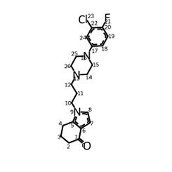 O=C1CCCc2c1ccn2CCCN1CCN(c2ccc(F)c(Cl)c2)CC1